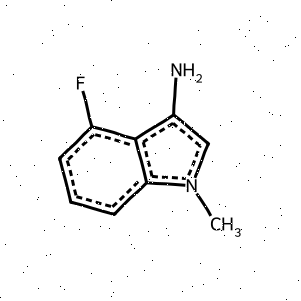 Cn1cc(N)c2c(F)cccc21